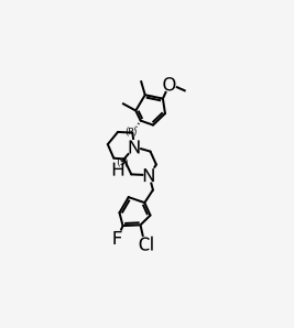 COc1ccc([C@H]2CCC[C@H]3CN(Cc4ccc(F)c(Cl)c4)CCN32)c(C)c1C